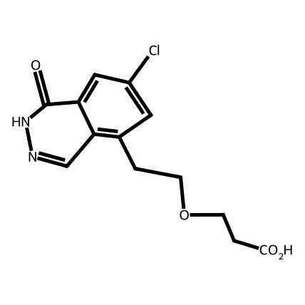 O=C(O)CCOCCc1cc(Cl)cc2c(=O)[nH]ncc12